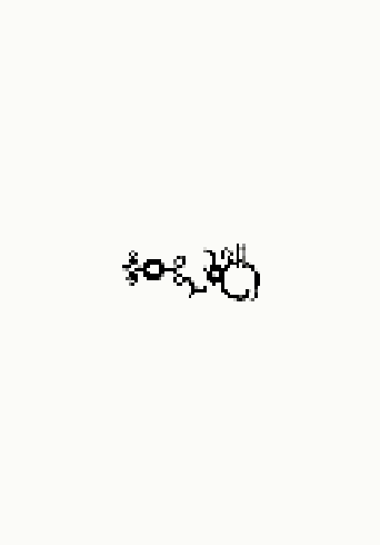 CCc1nn(C[C@@H](C)COC(=O)c2ccc(S(C)(=O)=O)cc2)c2c1C(=O)NCCCOCCC2